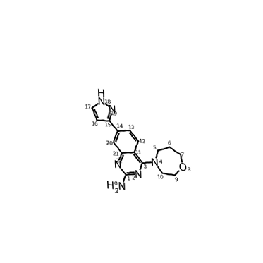 Nc1nc(N2CCCOCC2)c2ccc(-c3cc[nH]n3)cc2n1